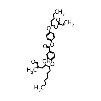 C=CC(=O)OC(CCCC)Oc1ccc(OC(=O)c2ccc(OC(CCCCCC)C(O)CC(=C)C=O)cc2)cc1